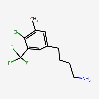 Cc1cc(CCCCN)cc(C(F)(F)F)c1Cl